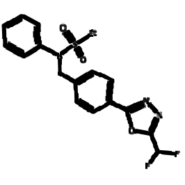 CCS(=O)(=O)N(Cc1ccc(-c2nnc(C(F)F)o2)cc1)c1ccccc1